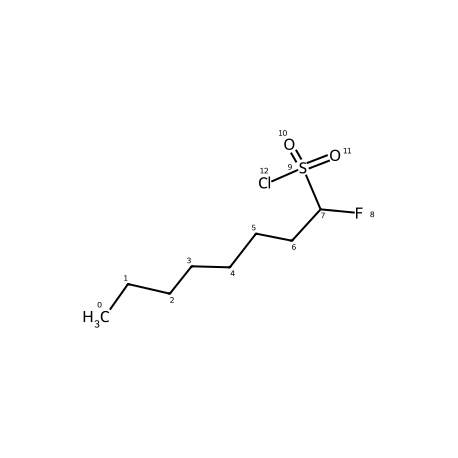 CCCCCCCC(F)S(=O)(=O)Cl